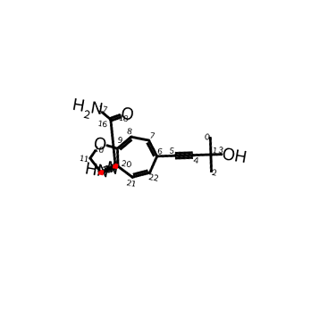 CC(C)(O)C#CC1=CC=C2OCC3CNC(C(N)=O)=NC23C=C1